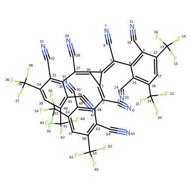 N#CC(=C1C(=C(C#N)c2c(C#N)c(C(F)(F)F)cc(C(F)(F)F)c2C#N)C1=C(C#N)c1c(C#N)c(C(F)(F)F)cc(C(F)(F)F)c1C#N)c1c(C#N)c(C(F)(F)F)cc(C(F)(F)F)c1C#N